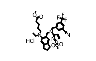 CCN(CCCCC(=O)OC)c1cc2c(cc1CN(Cc1cc(C#N)cc(C(F)(F)F)c1)c1ccn(S(C)(=O)=O)n1)CCC2.Cl